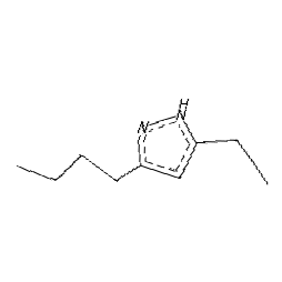 CCCCc1cc(CC)[nH]n1